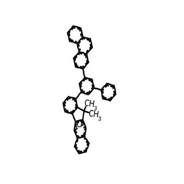 CC1(C)c2c(-c3cc(-c4ccccc4)cc(-c4ccc5c(ccc6ccccc65)c4)c3)cccc2-c2c1c1oc2c2ccccc12